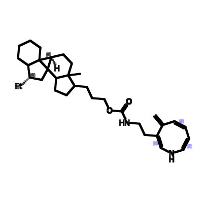 C=C1/C=C\C=C/N/C=C\1CCNC(=O)OCCCC1CCC2C1(C)CC[C@@H]1C34CCCCC3[C@@H](CC)CC214